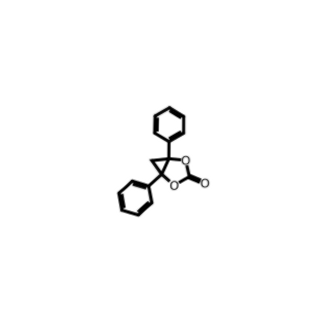 O=C1OC2(c3ccccc3)CC2(c2ccccc2)O1